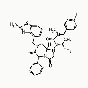 CC(C)N(C(=O)N(C)Cc1ccc(F)cc1)N1CC(=O)N2[C@@H](c3ccccc3)C(=O)N(Cc3cccc4sc(N)nc34)C[C@@H]21